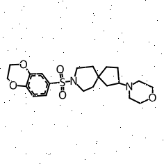 O=S(=O)(c1ccc2c(c1)OCCO2)N1CCC2(CCC(N3CCOCC3)C2)CC1